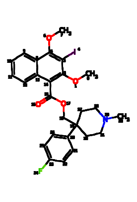 COc1c(I)c(OC)c2ccccc2c1C(=O)OCC1(c2ccc(F)cc2)CCN(C)CC1